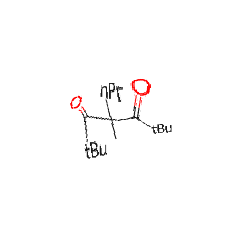 CCCC(C)(C(=O)C(C)(C)C)C(=O)C(C)(C)C